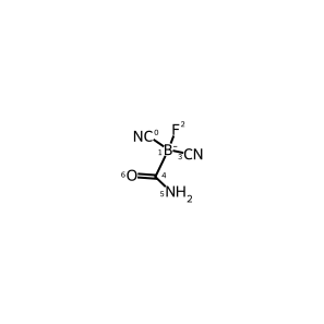 N#C[B-](F)(C#N)C(N)=O